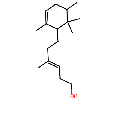 CC(=CCCO)CCC1C(C)=CCC(C)C1(C)C